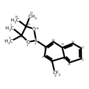 CC1(C)OB(c2cc(C(F)(F)F)c3ccccc3c2)OC1(C)C